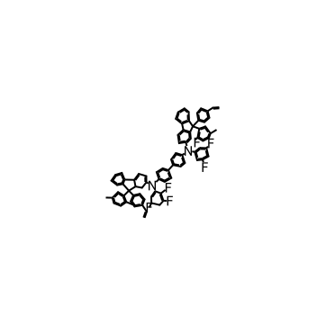 C=Cc1ccc(C2(c3cc(C)ccc3C)c3ccccc3-c3ccc(N(c4ccc(-c5ccc(N(C6=CC=C7c8ccccc8C(c8ccc(C=C)cc8)(c8cc(C)ccc8C)C7C6)C6=CC(F)CC(F)=C6F)cc5)cc4)c4cc(F)cc(F)c4F)cc32)cc1